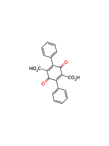 O=C(O)C1=C(c2ccccc2)C(=O)C(C(=O)O)=C(c2ccccc2)C1=O